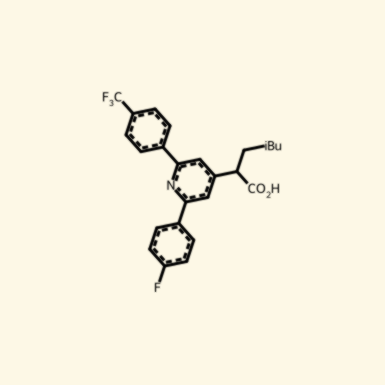 CCC(C)CC(C(=O)O)c1cc(-c2ccc(F)cc2)nc(-c2ccc(C(F)(F)F)cc2)c1